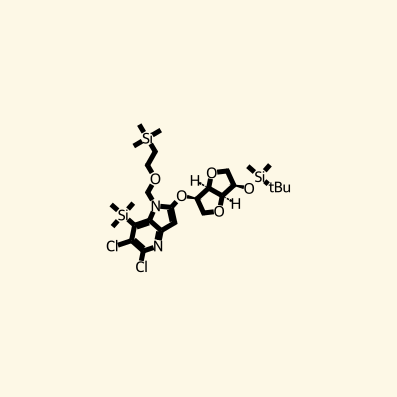 CC(C)(C)[Si](C)(C)O[C@@H]1CO[C@H]2[C@@H]1OC[C@H]2Oc1cc2nc(Cl)c(Cl)c([Si](C)(C)C)c2n1COCC[Si](C)(C)C